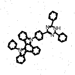 c1ccc(C2=NC(c3ccc(-n4c5ccccc5c5c4c4ccccc4c4c6ccccc6n(-c6ccccc6)c45)cc3)=NC(c3ccccc3)N2)cc1